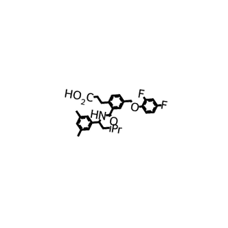 Cc1cc(C)cc(C(CC(C)C)NC(=O)c2cc(COc3ccc(F)cc3F)ccc2CCC(=O)O)c1